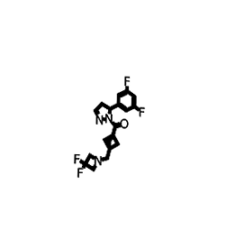 O=C(N1N=CCC1c1cc(F)cc(F)c1)C12CC(CN3CC(F)(F)C3)(C1)C2